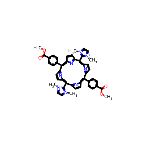 COC(=O)c1ccc(C2=C3C=CC(=N3)C(c3n(C)cc[n+]3C)=C3C=CC(=N3)C(c3ccc(C(=O)OC)cc3)=C3C=CC(=N3)C(c3n(C)cc[n+]3C)=C3C=CC2=N3)cc1